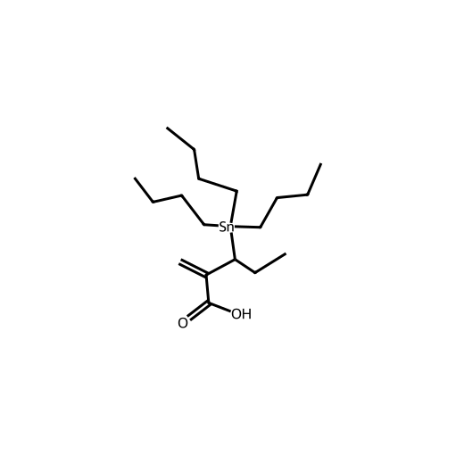 C=C(C(=O)O)[CH](CC)[Sn]([CH2]CCC)([CH2]CCC)[CH2]CCC